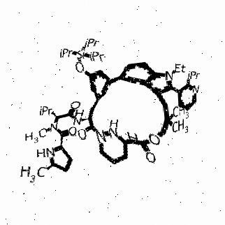 CCn1c(-c2cccnc2C(C)C)c2c3cc(ccc31)-c1cc(cc(O[Si](C(C)C)(C(C)C)C(C)C)c1)C[C@H](NC(=O)[C@H](C(C)C)N(C)C(=O)[C@H]1CC[C@@H](C)N1)C(=O)N1CCC[C@H](N1)C(=O)OCC(C)(C)C2